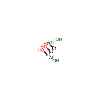 CCO.CCO.CCO.Cl.Cl.Cl.[Al]